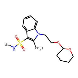 CC(C)(C)NS(=O)(=O)c1c(C(=O)O)n(CCOC2CCCCO2)c2ccccc12